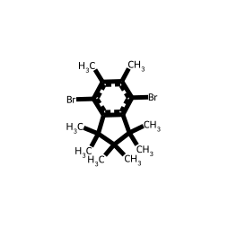 Cc1c(C)c(Br)c2c(c1Br)C(C)(C)C(C)(C)C2(C)C